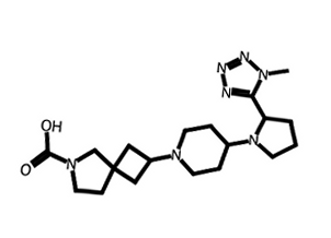 Cn1nnnc1C1CCCN1C1CCN(C2CC3(CCN(C(=O)O)C3)C2)CC1